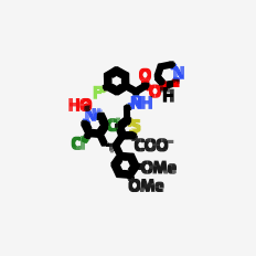 COc1ccc([C@H](Cc2c(Cl)c[n+](O)cc2Cl)c2cc(CNC(C(=O)O[C@H]3CN4CCC3CC4)c3cccc(F)c3)sc2C(=O)[O-])cc1OC